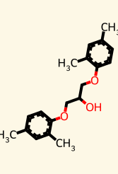 Cc1ccc(OCC(O)COc2ccc(C)cc2C)c(C)c1